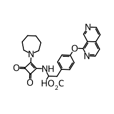 O=C(O)C(Cc1ccc(Oc2nccc3ccncc23)cc1)Nc1c(N2CCCCCC2)c(=O)c1=O